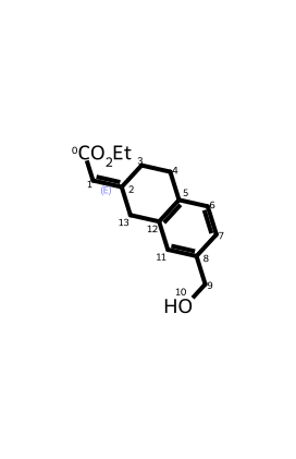 CCOC(=O)/C=C1\CCc2ccc(CO)cc2C1